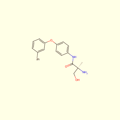 CC(C)c1cccc(Oc2ccc(NC(=O)[C@@](C)(N)CO)cc2)c1